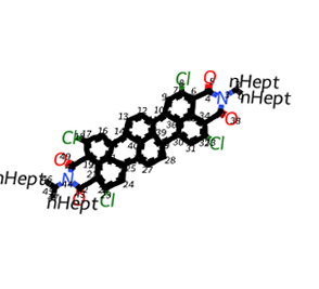 CCCCCCCC(CCCCCCC)N1C(=O)c2c(Cl)cc3c4ccc5c6cc(Cl)c7c8c(c(Cl)cc(c9ccc(c%10cc(Cl)c(c2c3%10)C1=O)c4c59)c86)C(=O)N(C(CCCCCCC)CCCCCCC)C7=O